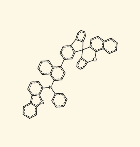 c1ccc(N(c2ccc(-c3ccc4c(c3)C3(c5ccccc5Oc5c3ccc3ccccc53)c3ccccc3-4)c3ccccc23)c2cccc3c2sc2ccccc23)cc1